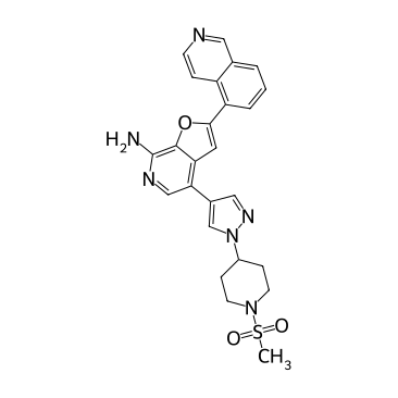 CS(=O)(=O)N1CCC(n2cc(-c3cnc(N)c4oc(-c5cccc6cnccc56)cc34)cn2)CC1